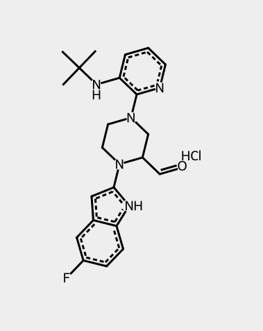 CC(C)(C)Nc1cccnc1N1CCN(c2cc3cc(F)ccc3[nH]2)C(C=O)C1.Cl